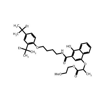 CCC(C)(C)c1ccc(OCCCCNC(=O)c2cc(OC(C)C(=O)OCCOC)c3ccccc3c2O)c(C(C)(C)CC)c1